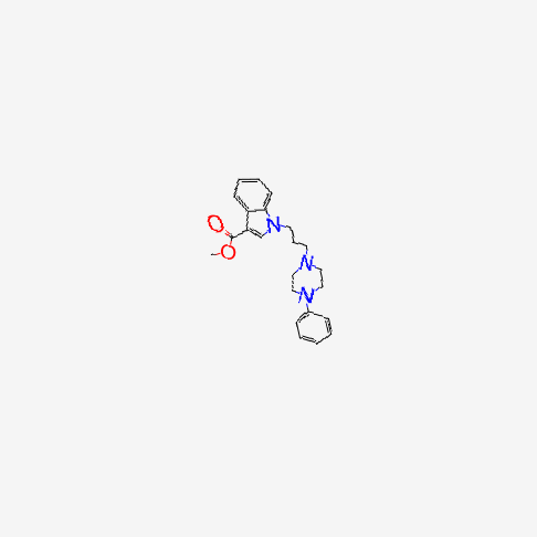 COC(=O)c1cn(CCCN2CCN(c3ccccc3)CC2)c2ccccc12